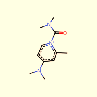 Cc1cc(N(C)C)cc[n+]1C(=O)N(C)C